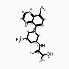 CC(C)C(O)C(=O)N[C@H]1C[C@@H](C(F)(F)F)CN(c2ccc(C#N)c3nccnc23)C1